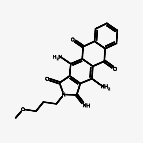 COCCCn1c(=N)c2c(N)c3c(=O)c4ccccc4c(=O)c3c(N)c2c1=O